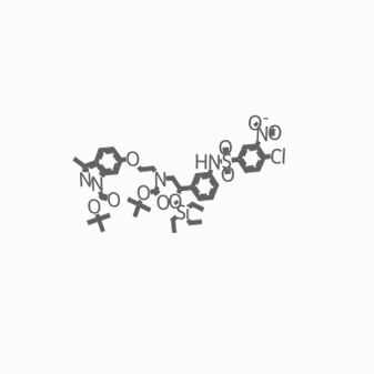 CC[Si](CC)(CC)OC(CN(CCOc1ccc2c(C)nn(C(=O)OC(C)(C)C)c2c1)C(=O)OC(C)(C)C)c1cccc(NS(=O)(=O)c2ccc(Cl)c([N+](=O)[O-])c2)c1